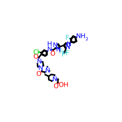 CN(C)[C@@H](CC1CCN(CC(=O)O)CC1)C(=O)N1CCN(C(=O)c2ccc(NC(=O)c3ncc(-c4cn(-c5ccc(N)cc5F)nc4C(F)(F)F)n3C)cc2Cl)CC1